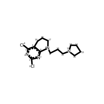 Clc1nc(Cl)c2c(n1)N(CCCN1CCCC1)CCC2